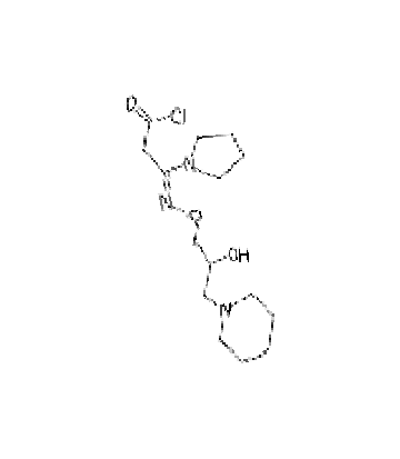 O=C(Cl)CC(=NOCC(O)CN1CCCCC1)N1CCCC1